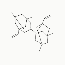 C=CC12CC3(C)CC(C)(C1)CC(C14CC5(C)CC(C)(CC(C=C)(C5)C1)C4)(C3)C2